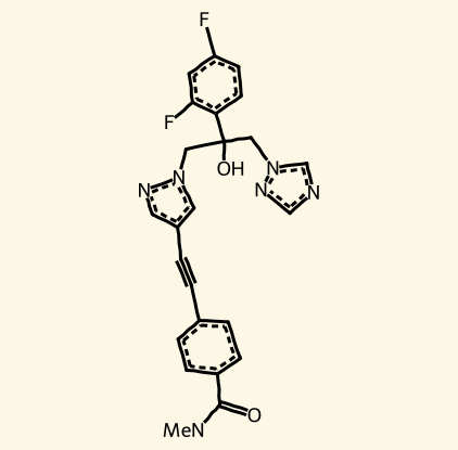 CNC(=O)c1ccc(C#Cc2cnn(CC(O)(Cn3cncn3)c3ccc(F)cc3F)c2)cc1